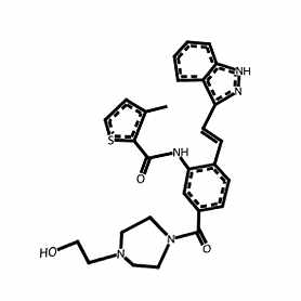 Cc1ccsc1C(=O)Nc1cc(C(=O)N2CCN(CCO)CC2)ccc1C=Cc1n[nH]c2ccccc12